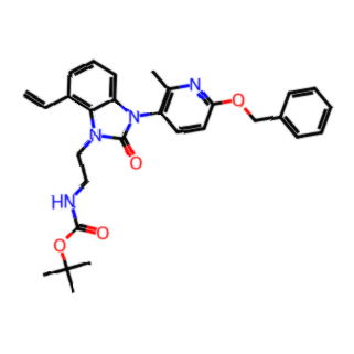 C=Cc1cccc2c1n(CCNC(=O)OC(C)(C)C)c(=O)n2-c1ccc(OCc2ccccc2)nc1C